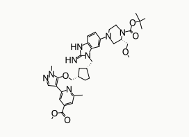 COC[C@@H]1CN(c2ccc3[nH]c(=N)n(C[C@@H]4CC[C@H](COc5c(-c6cc(C(=O)OC)cc(C)n6)cnn5C)C4)c3c2)CCN1C(=O)OC(C)(C)C